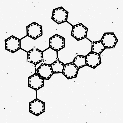 c1ccc(-c2ccc(-c3nc(-c4ccccc4-c4ccccc4)nc(-c4ccccc4-n4c5ccccc5c5ccc6c7ccc8c9ccccc9n(-c9ccc(-c%10ccccc%10)cc9)c8c7sc6c54)n3)cc2)cc1